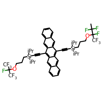 CC(C)[Si](C#Cc1c2cc3ccccc3cc2c(C#C[Si](CCCOC(F)(C(F)(F)F)C(F)(F)F)(C(C)C)C(C)C)c2cc3ccccc3cc12)(CCCOC(F)(C(C)(F)F)C(F)(F)F)C(C)C